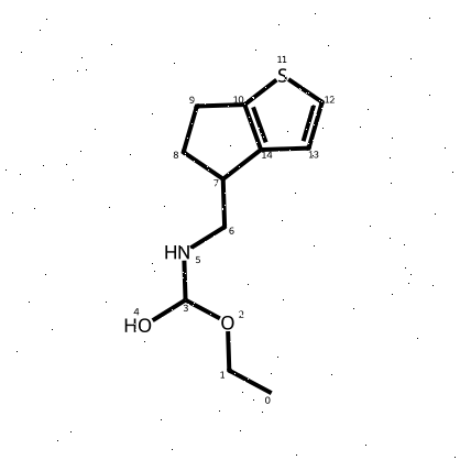 CCOC(O)NCC1CCc2sccc21